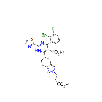 CCOC(=O)C1=C(C2CCc3nn(CCC(=O)O)cc3C2)NC(c2nccs2)=NC1c1cccc(F)c1Br